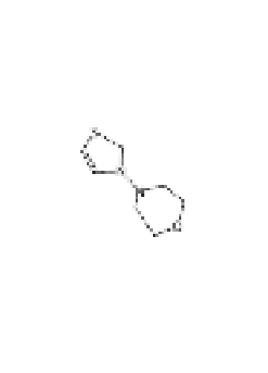 C1=CN(N2CCOCC2)CS1